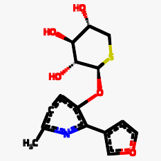 Cc1ccc(O[C@@H]2SC[C@@H](O)[C@H](O)[C@H]2O)c(-c2ccoc2)n1